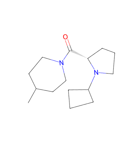 CC1CCN(C(=O)[C@@H]2CCCN2C2CCC2)CC1